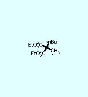 [CH2]CCCC(C)(C(=O)OCC)C(=O)OCC